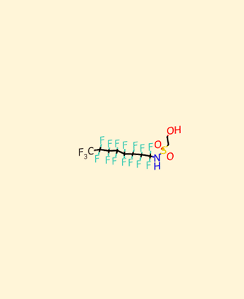 O=S(=O)(CCO)NC(F)(F)C(F)(F)C(F)(F)C(F)(F)C(F)(F)C(F)(F)C(F)(F)C(F)(F)F